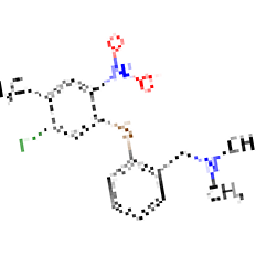 Cc1cc([N+](=O)[O-])c(Sc2ccccc2CN(C)C)cc1F